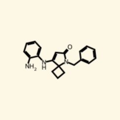 Nc1ccccc1NC1=CC(=O)N(Cc2ccccc2)C12CCC2